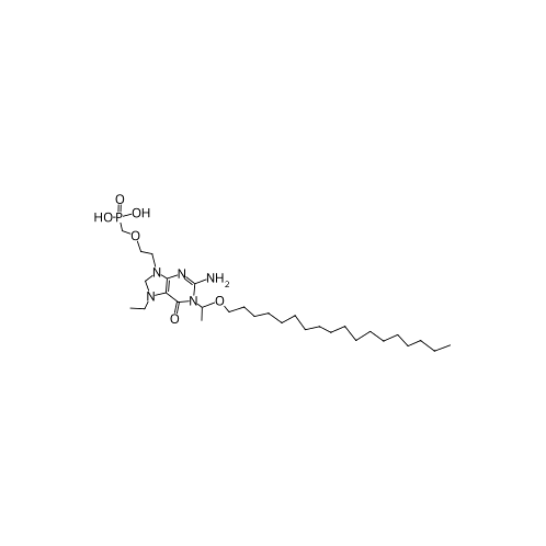 CCCCCCCCCCCCCCCCCCOC(C)n1c(N)nc2c(c1=O)N(CC)CN2CCOCP(=O)(O)O